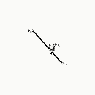 CCCCCCCCCCCCCCCCCCCCCCCCCC(=O)O[C@H](COC(=O)CCCCCCCCCCCCCCC)COP(=O)([O-])OCC[N+](C)(C)C